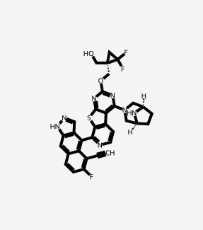 C#Cc1c(F)ccc2cc3[nH]ncc3c(-c3nccc4c3sc3nc(OC[C@]5(CO)CC5(F)F)nc(N5C[C@H]6CC[C@@H](C5)N6)c34)c12